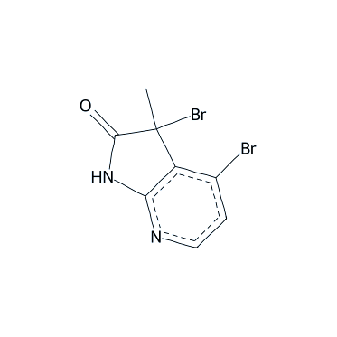 CC1(Br)C(=O)Nc2nccc(Br)c21